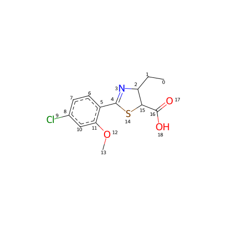 CCC1N=C(c2ccc(Cl)cc2OC)SC1C(=O)O